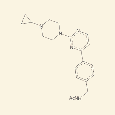 CC(=O)NCc1ccc(-c2ccnc(N3CCN(C4CC4)CC3)n2)cc1